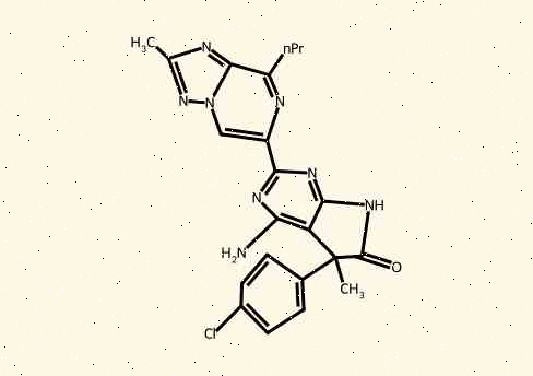 CCCc1nc(-c2nc(N)c3c(n2)NC(=O)C3(C)c2ccc(Cl)cc2)cn2nc(C)nc12